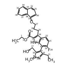 CCOC(=O)c1[nH]c2c(-c3c(CC)nn(C)c3CO)c(F)ccc2c1CCCOc1cccc2ccccc12